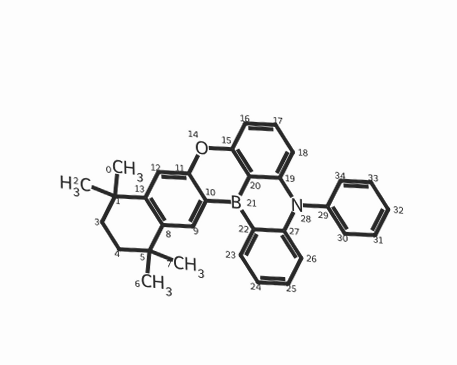 CC1(C)CCC(C)(C)c2cc3c(cc21)Oc1cccc2c1B3c1ccccc1N2c1ccccc1